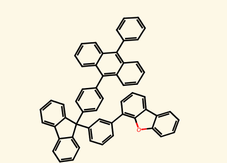 c1ccc(-c2c3ccccc3c(-c3ccc(C4(c5cccc(-c6cccc7c6oc6ccccc67)c5)c5ccccc5-c5ccccc54)cc3)c3ccccc23)cc1